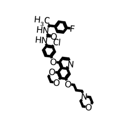 C[C@H](NC(=O)Nc1ccc(Oc2ccnc3cc(OCCCN4CCOCC4)c4c(c23)OCCO4)cc1Cl)c1ccc(F)cc1